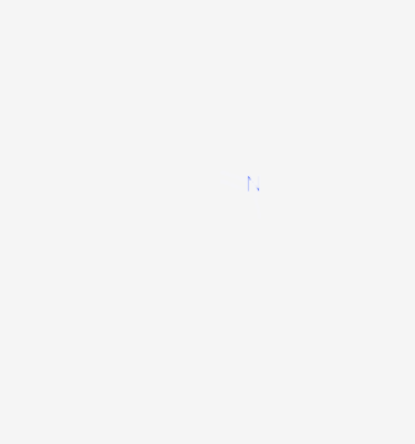 C1=CCC2=NC3CCCCC3=CC2=C1